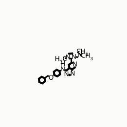 CN(C)CN1C=CN(C)C1c1cc2c(Nc3ccc(OCc4ccccc4)cc3)ncnc2cn1